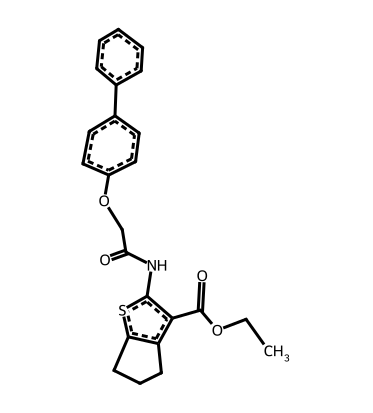 CCOC(=O)c1c(NC(=O)COc2ccc(-c3ccccc3)cc2)sc2c1CCC2